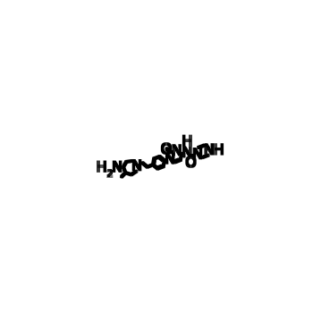 CC1CCN(CCc2ccc(-n3ccc(NC(=O)N4CCNCC4)nc3=O)cc2)CC[C@H]1N